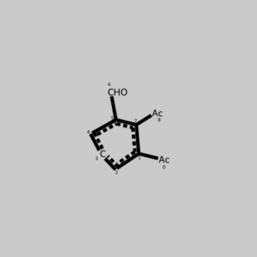 CC(=O)c1cccc(C=O)c1C(C)=O